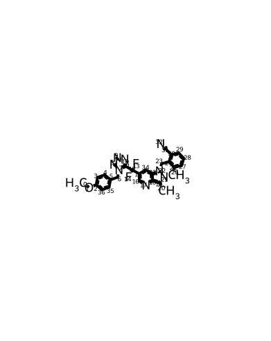 COc1ccc(Cn2nnnc2C(F)(F)c2cnc3c(C)nn(Cc4c(C)cccc4C#N)c3c2)cc1